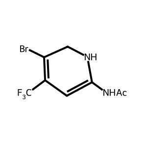 CC(=O)NC1=CC(C(F)(F)F)=C(Br)CN1